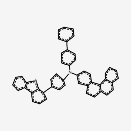 c1ccc(-c2ccc(N(c3ccc(-c4cccc5c4sc4ccccc45)cc3)c3ccc4c(ccc5ccc6ccccc6c54)c3)cc2)cc1